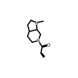 C=CC(=O)N1CCC2CCN(C)C2C1